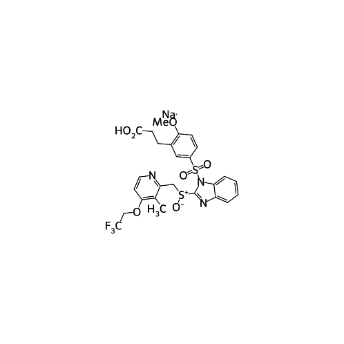 COc1ccc(S(=O)(=O)n2c([S+]([O-])Cc3nccc(OCC(F)(F)F)c3C)nc3ccccc32)cc1CCC(=O)O.[Na]